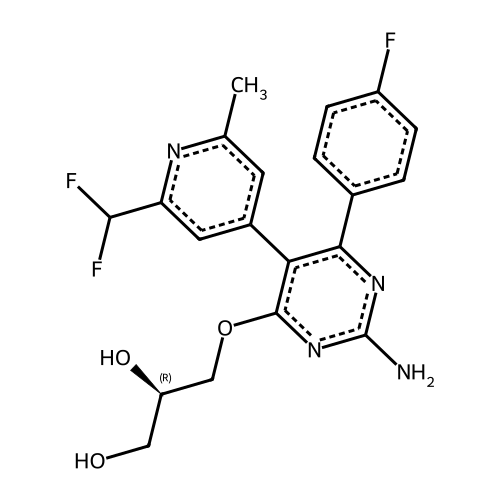 Cc1cc(-c2c(OC[C@H](O)CO)nc(N)nc2-c2ccc(F)cc2)cc(C(F)F)n1